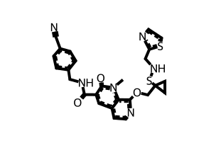 Cn1c(=O)c(C(=O)NCc2ccc(C#N)cc2)cc2ccnc(OCC3(SNCc4nccs4)CC3)c21